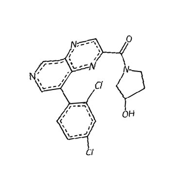 O=C(c1cnc2cncc(-c3ccc(Cl)cc3Cl)c2n1)N1CCC(O)C1